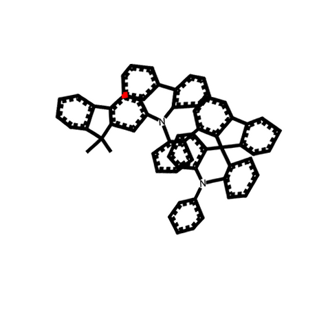 CC1(C)c2ccccc2-c2ccc(N(c3ccccc3-c3ccccc3)c3ccccc3-c3cccc4c3C3(c5ccccc5-4)c4ccccc4N(c4ccccc4)c4ccccc43)cc21